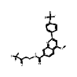 COc1cc(-c2ccc(C(F)(F)F)cc2)nc2cc(C(=O)NCCC(=O)C(F)(F)F)ccc12